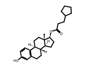 C[C@]12CC[C@@H]3c4ccc(O)cc4CC[C@H]3[C@@H]1CC[C@@H]2OC(=O)CCC1CCCC1